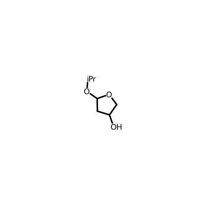 CC(C)OC1CC(O)CO1